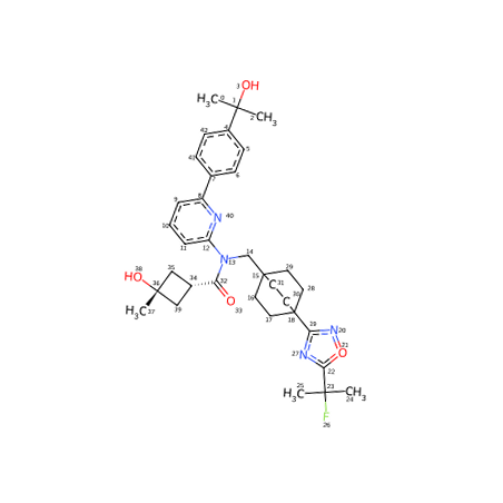 CC(C)(O)c1ccc(-c2cccc(N(CC34CCC(c5noc(C(C)(C)F)n5)(CC3)CC4)C(=O)[C@H]3C[C@@](C)(O)C3)n2)cc1